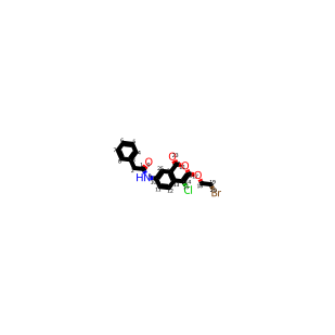 O=C(Cc1ccccc1)Nc1ccc2c(Cl)c(OCCBr)oc(=O)c2c1